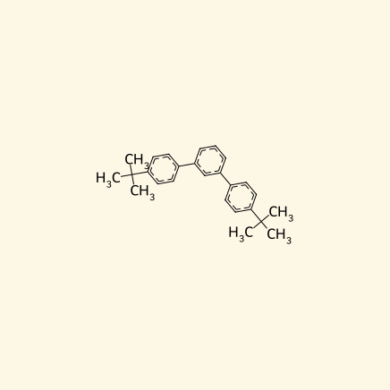 CC(C)(C)c1ccc(-c2cccc(-c3ccc(C(C)(C)C)cc3)c2)cc1